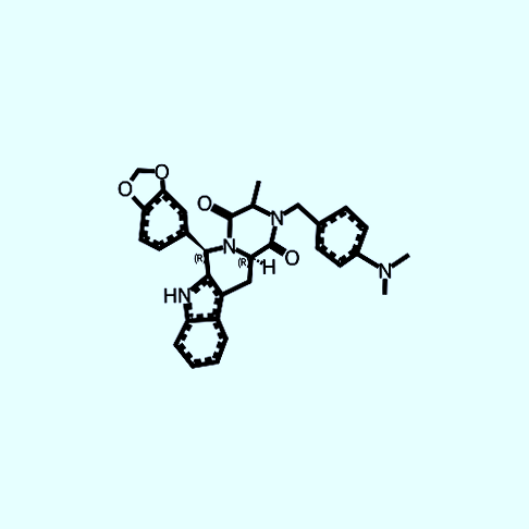 CC1C(=O)N2[C@H](c3ccc4c(c3)OCO4)c3[nH]c4ccccc4c3C[C@@H]2C(=O)N1Cc1ccc(N(C)C)cc1